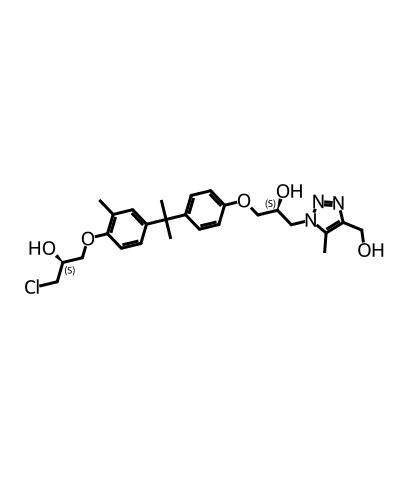 Cc1cc(C(C)(C)c2ccc(OC[C@@H](O)Cn3nnc(CO)c3C)cc2)ccc1OC[C@H](O)CCl